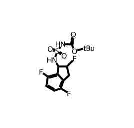 CC(C)(C)OC(=O)NS(=O)(=O)NC1c2c(F)ccc(F)c2CC1F